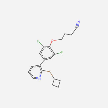 N#CCCCOc1c(F)cc(-c2cccnc2SC2CCC2)cc1F